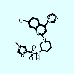 Cn1cnc(S(=O)(=O)NC2CCCN(c3cc(-n4ccnc4)c4ccc(Cl)cc4n3)C2)c1